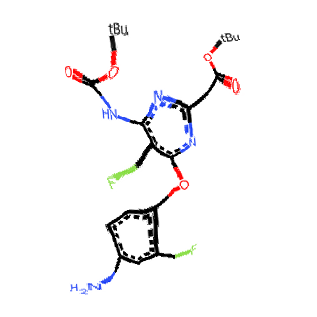 CC(C)(C)OC(=O)Nc1nc(C(=O)OC(C)(C)C)nc(Oc2ccc(N)cc2F)c1F